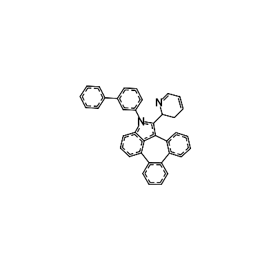 C1=CCC(c2c3c4c(cccc4n2-c2cccc(-c4ccccc4)c2)-c2ccccc2-c2ccccc2-3)N=C1